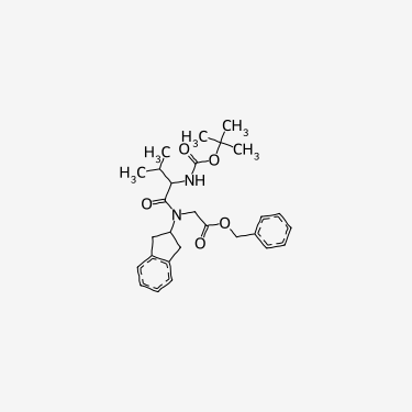 CC(C)C(NC(=O)OC(C)(C)C)C(=O)N(CC(=O)OCc1ccccc1)C1Cc2ccccc2C1